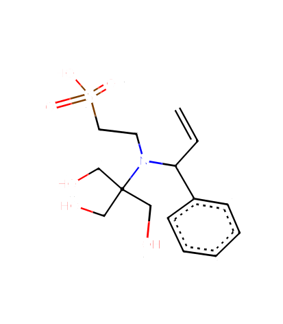 C=CC(c1ccccc1)N(CCS(=O)(=O)O)C(CO)(CO)CO